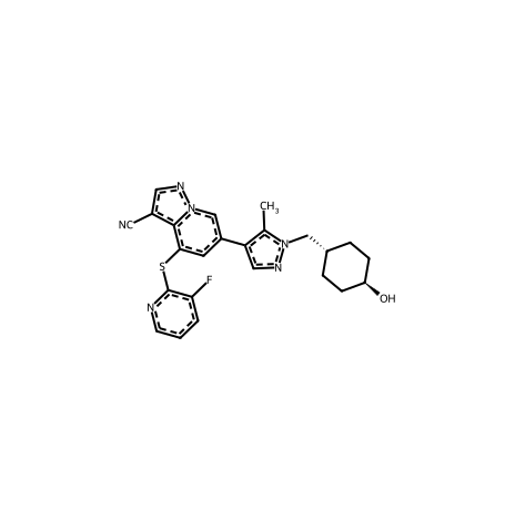 Cc1c(-c2cc(Sc3ncccc3F)c3c(C#N)cnn3c2)cnn1C[C@H]1CC[C@H](O)CC1